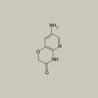 Nc1cnc2c(c1)OCC(=O)N2